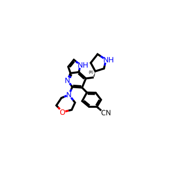 N#Cc1ccc(-c2c(N3CCOCC3)nc3cc[nH]c3c2C[C@@H]2CCNC2)cc1